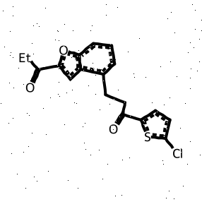 CCC(=O)c1cc2c(CCC(=O)c3ccc(Cl)s3)cccc2o1